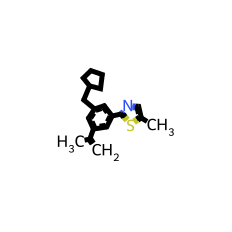 C=C(C)c1cc(CC2CCCC2)cc(-c2ncc(C)s2)c1